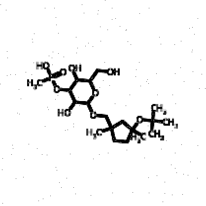 CC1(COC2OC(CO)C(O)C(OP(C)(=O)O)C2O)CCC(C)(OC(C)(C)C)C1